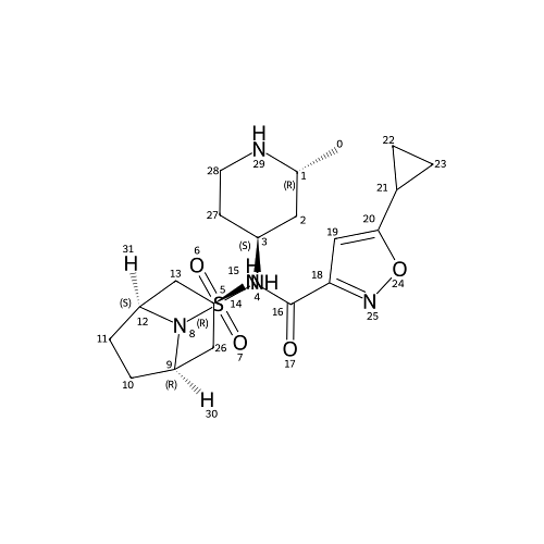 C[C@@H]1C[C@@H](NS(=O)(=O)N2[C@@H]3CC[C@H]2C[C@@H](NC(=O)c2cc(C4CC4)on2)C3)CCN1